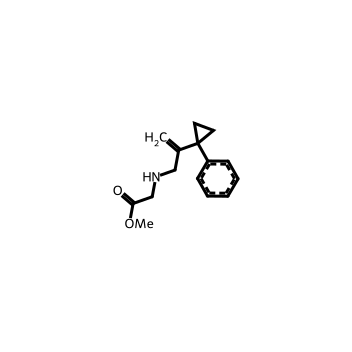 C=C(CNCC(=O)OC)C1(c2ccccc2)CC1